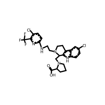 O=C(O)C1CCCN1CC1c2[nH]c3ccc(Cl)cc3c2CCN1CCNc1ccc(Cl)c(C(F)(F)F)n1